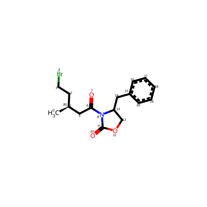 C[C@@H](CCBr)CC(=O)N1C(=O)OCC1Cc1ccccc1